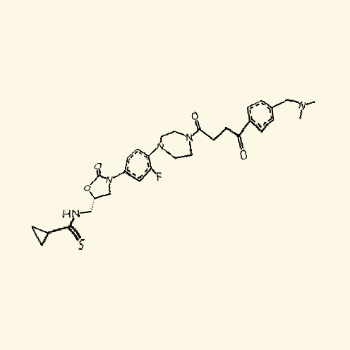 CN(C)Cc1ccc(C(=O)CCC(=O)N2CCN(c3ccc(N4C[C@H](CNC(=S)C5CC5)OC4=O)cc3F)CC2)cc1